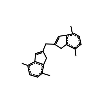 Cc1ccc(C)c2c1C=C(CC1=Cc3c(C)ccc(C)c3C1)C2